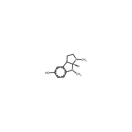 CN1CCC2c3cc(O)ccc3N(C)[C@H]21